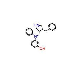 Oc1cccc(N(CC2CNCC2Cc2ccccc2)c2ccccc2)c1